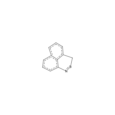 B1=Nc2cccc3cccc(c23)C1